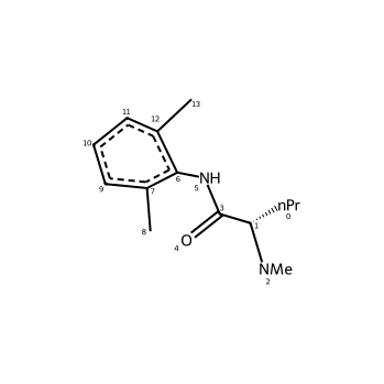 CCC[C@H](NC)C(=O)Nc1c(C)cccc1C